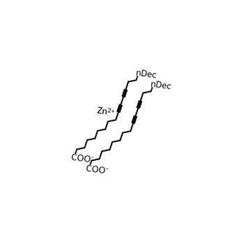 CCCCCCCCCCCCC#CC#CCCCCCCCCC(=O)[O-].CCCCCCCCCCCCC#CC#CCCCCCCCCC(=O)[O-].[Zn+2]